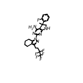 CC1(c2ccccc2F)CNc2nc(-n3nc(CCC(F)(F)C(F)(F)F)c4c3CCCC4)nc(N)c21